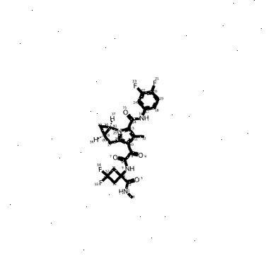 CNC(=O)C1(NC(=O)C(=O)c2c(C)c(C(=O)Nc3ccc(F)c(F)c3)n3c2C[C@H]2C[C@H]23)CC(F)(F)C1